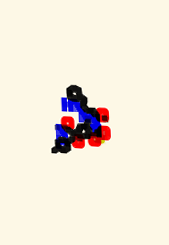 CNC(=O)c1c(-c2ccc(C)cc2)oc2cc(N(C)S(C)(=O)=O)c(-c3nc(OC)cc(-c4cc5ccccc5[nH]4)n3)cc12